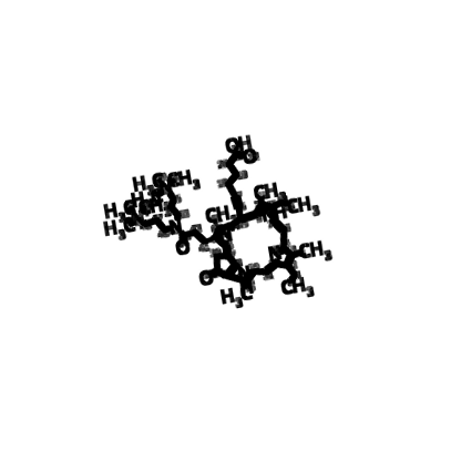 CCC1=C(C)c2cc3[nH]c(c(C)c3CC)c(C#CCCCC(=O)O)c3nc(c4c5[nH]c(cc1n2)c(C)c5C(=O)C4)[C@@H](CCC(=O)N(CCC[N+](C)(C)C)CCC[N+](C)(C)C)[C@@H]3C